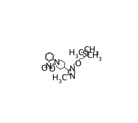 Cc1ncn(COCC[Si](C)(C)C)c1C1CCN(c2ccccc2[N+](=O)[O-])CC1